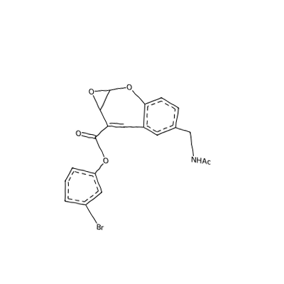 CC(=O)NCc1ccc2c(c1)C=C(C(=O)Oc1cccc(Br)c1)C1OC1O2